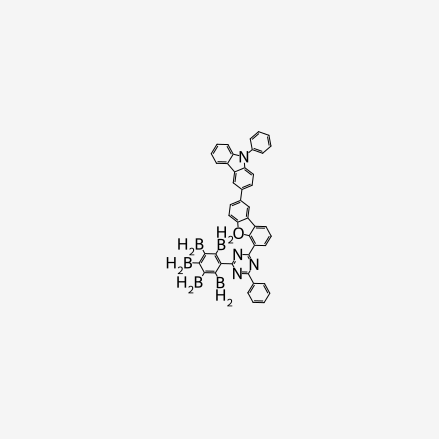 Bc1c(B)c(B)c(-c2nc(-c3ccccc3)nc(-c3cccc4c3oc3ccc(-c5ccc6c(c5)c5ccccc5n6-c5ccccc5)cc34)n2)c(B)c1B